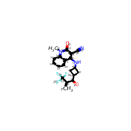 C=C(C(=O)C1CC(Nc2c(C#N)c(=O)n(C)c3ccccc23)C1)C(F)(F)F